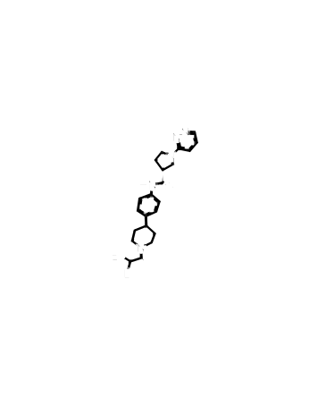 CCC(CC)C(=O)N1CCC(c2ccc(NC(=O)[C@H]3CCN(c4cccnn4)C3)cc2)CC1